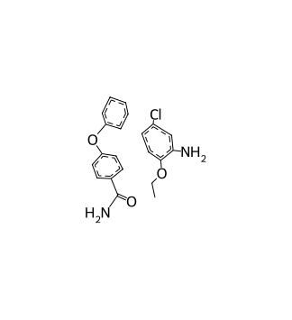 CCOc1ccc(Cl)cc1N.NC(=O)c1ccc(Oc2ccccc2)cc1